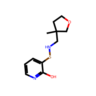 CC1(CNSc2cccnc2O)CCOC1